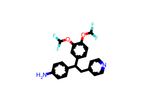 Nc1ccc(C(Cc2ccncc2)c2ccc(OC(F)F)c(OC(F)F)c2)cc1